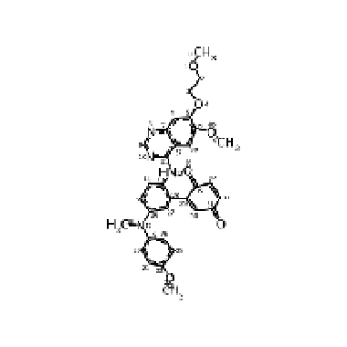 COCCOc1cc2ncnc(Nc3ccc(N(C)c4ccc(OC)cc4)cc3C3=CC(=O)C=CC3=O)c2cc1OC